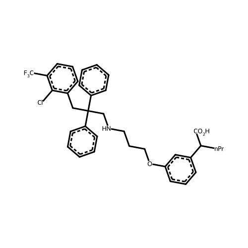 CCCC(C(=O)O)c1cccc(OCCCNCC(Cc2cccc(C(F)(F)F)c2Cl)(c2ccccc2)c2ccccc2)c1